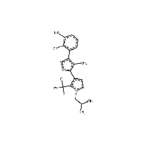 Cc1c(-c2cccc(O)c2Cl)noc1-c1cnn(CC(C)O)c1C(F)(F)F